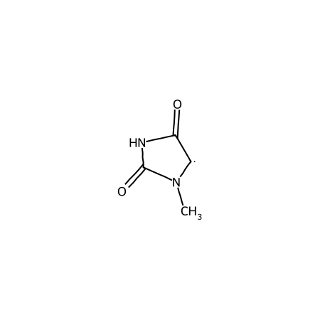 CN1[CH]C(=O)NC1=O